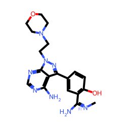 C/N=C(/N)c1cc(-c2nn(CCN3CCOCC3)c3ncnc(N)c23)ccc1O